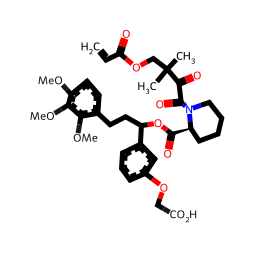 C=CC(=O)OCC(C)(C)C(=O)C(=O)N1CCCC[C@H]1C(=O)OC(CCc1ccc(OC)c(OC)c1OC)c1cccc(OCC(=O)O)c1